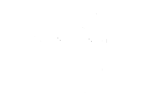 CN1C(=O)CN(C(=O)O)c2ccc(F)c(Br)c21